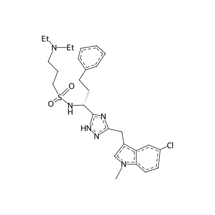 CCN(CC)CCCS(=O)(=O)N[C@H](CCc1ccccc1)c1nc(Cc2cn(C)c3ccc(Cl)cc23)n[nH]1